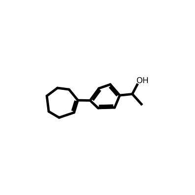 CC(O)c1ccc(C2=CCCCCC2)cc1